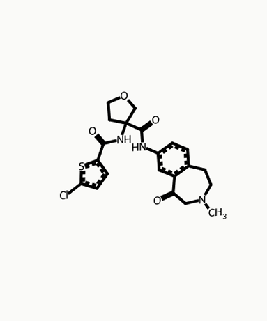 CN1CCc2ccc(NC(=O)C3(NC(=O)c4ccc(Cl)s4)CCOC3)cc2C(=O)C1